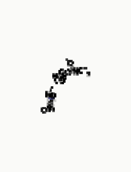 Cc1ccc(-c2cc(C(F)(F)F)nn2-c2ccc(S(=O)(=O)NC(=O)OCCCCCCN(C)/[N+]([O-])=N/OC(C)OC(=O)c3ccccc3)cc2)cc1